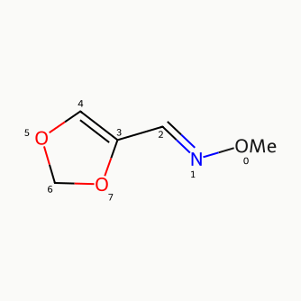 CON=CC1=COCO1